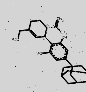 C=C(C)[C@H]1CCC(COC(C)=O)=C[C@@H]1c1c(O)cc(C23CC4CC(CC(C4)C2)C3)cc1O